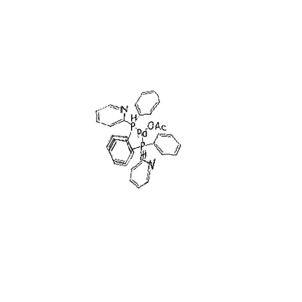 CC(=O)[O][Pd]([PH](c1ccccc1)(c1ccccc1)c1ccccn1)[PH](c1ccccc1)(c1ccccc1)c1ccccn1